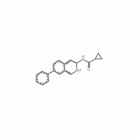 O=C(NC1C=c2ccc(-c3ccccc3)cc2=CN1)C1CC1